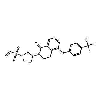 C=CS(=O)(=O)N1CCC(N2CCc3c(Oc4ccc(C(F)(F)F)cc4)cccc3C2=O)C1